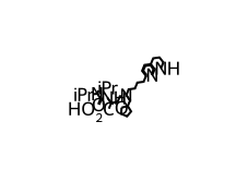 CC(C)N(C(=O)NC(CCN(CCCCc1ccc2c(n1)NCCC2)CC1CCCO1)C(=O)O)C(C)C